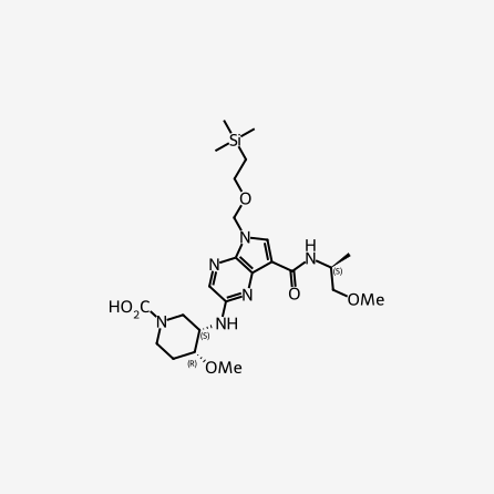 COC[C@H](C)NC(=O)c1cn(COCC[Si](C)(C)C)c2ncc(N[C@H]3CN(C(=O)O)CC[C@H]3OC)nc12